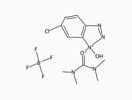 CN(C)C(=[O+][N+]1(O)N=Nc2ccc(Cl)cc21)N(C)C.F[B-](F)(F)F